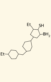 BC1CC(C2CCC(CC3CCC(CC)CC3)CC2)CC(CC)C1S